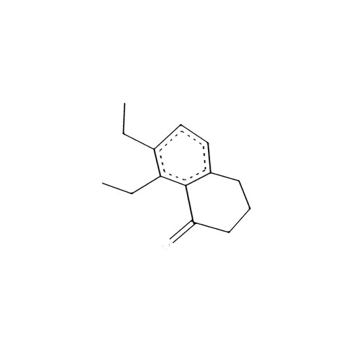 CCc1ccc2c(c1CC)C(=O)CCC2